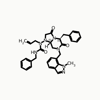 C=CCN(C(=O)NCc1ccccc1)N1CC(=O)N2[C@@H](Cc3ccccc3)C(=O)N(Cc3cccc4cnn(C)c34)C[C@@H]21